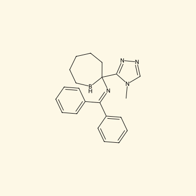 Cn1cnnc1C1(N=C(c2ccccc2)c2ccccc2)BCCCCC1